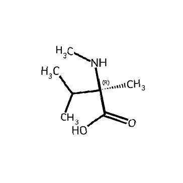 CN[C@@](C)(C(=O)O)C(C)C